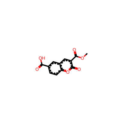 COC(=O)c1cc2cc(C(=O)O)ccc2oc1=O